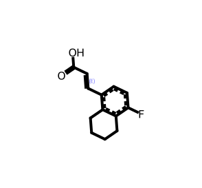 O=C(O)/C=C/c1ccc(F)c2c1CCCC2